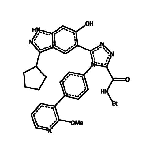 CCNC(=O)c1nnc(-c2cc3c(C4CCCC4)n[nH]c3cc2O)n1-c1ccc(-c2cccnc2OC)cc1